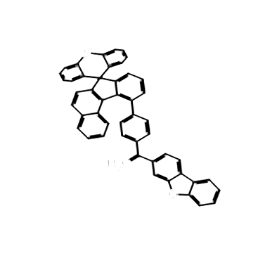 C=C(c1ccc(-c2cccc3c2-c2c(ccc4ccccc24)C32c3ccccc3Sc3ccccc32)cc1)c1ccc2c(c1)oc1ccccc12